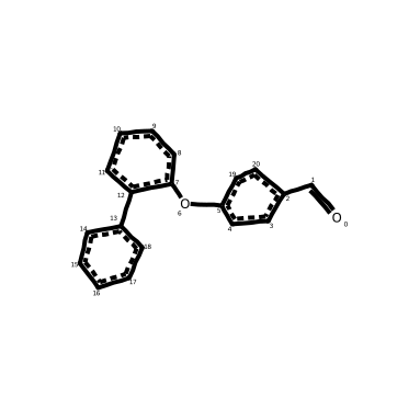 O=[C]c1ccc(Oc2ccccc2-c2ccccc2)cc1